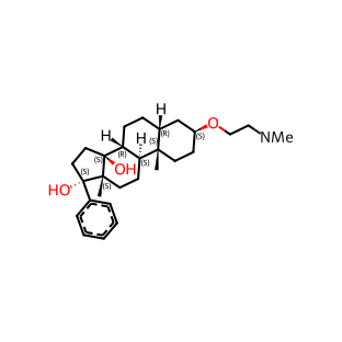 CNCCO[C@H]1CC[C@@]2(C)[C@H](CC[C@@H]3[C@@H]2CC[C@]2(C)[C@@](O)(c4ccccc4)CC[C@]32O)C1